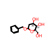 OC[C@H]1OC(OCc2ccccc2)C[C@@H](O)[C@@H]1O